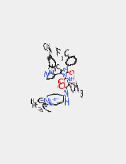 Cc1c(-c2ccnn2-c2ccc(C#N)cc2)n(C(=O)N[C@@H](C)C(=O)NC2CC[N+](C)(C)CC2)c(=O)n1-c1cccc(C(F)(F)F)c1